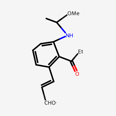 CCC(=O)c1c(/C=C/[C]=O)cccc1NC(C)OC